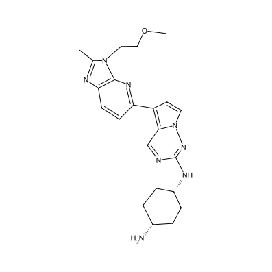 COCCn1c(C)nc2ccc(-c3ccn4nc(N[C@H]5CC[C@@H](N)CC5)ncc34)nc21